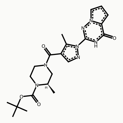 Cc1c(C(=O)N2CCN(C(=O)OC(C)(C)C)[C@H](C)C2)cnn1-c1nn2cccc2c(=O)[nH]1